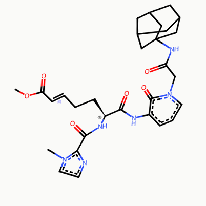 COC(=O)/C=C/CC[C@H](NC(=O)c1nccn1C)C(=O)Nc1cccn(CC(=O)NC23CC4CC(CC(C4)C2)C3)c1=O